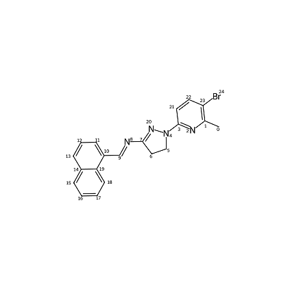 Cc1nc(N2CCC(N=Cc3cccc4ccccc34)=N2)ccc1Br